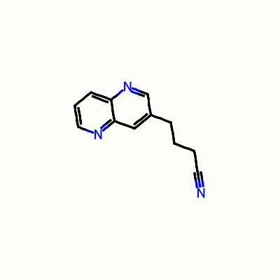 N#CCCCc1cnc2cccnc2c1